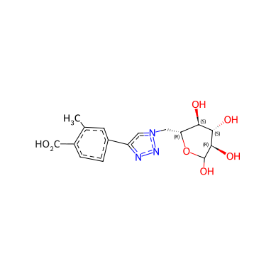 Cc1cc(-c2cn(C[C@H]3OC(O)[C@H](O)[C@@H](O)[C@@H]3O)nn2)ccc1C(=O)O